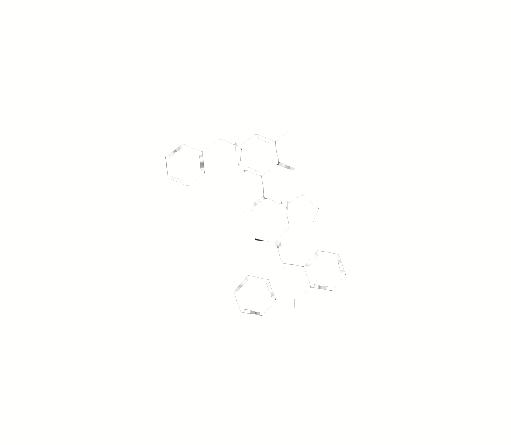 Cc1cn(Cc2ccccc2)nc(C(=O)N2CCC[C@@H]2[C@H](C)[C@@H](c2ccccc2)c2ccccc2F)c1=O